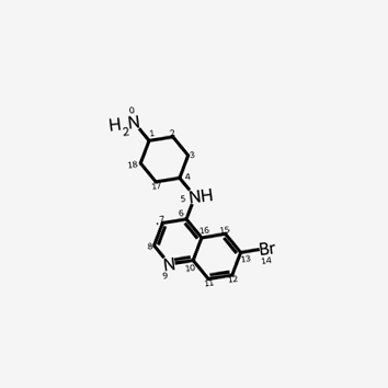 NC1CCC(Nc2[c]cnc3ccc(Br)cc23)CC1